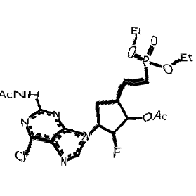 CCOP(=O)(C=CC1CC(n2cnc3c(Cl)nc(NC(C)=O)nc32)C(F)C1OC(C)=O)OCC